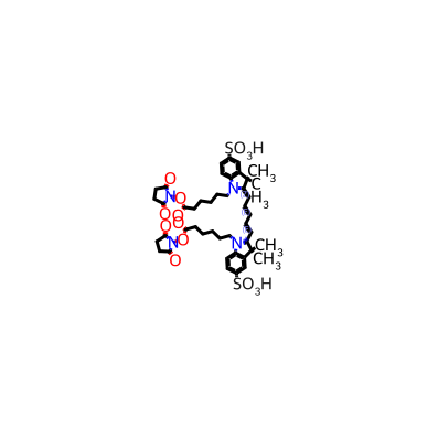 CC1(C)C(/C=C/C=C/C=C2\N(CCCCCC(=O)ON3C(=O)CCC3=O)c3ccc(S(=O)(=O)O)cc3C2(C)C)=[N+](CCCCCC(=O)ON2C(=O)CCC2=O)c2ccc(S(=O)(=O)O)cc21